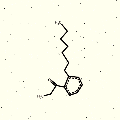 CCCCCCCc1ccccc1C(=O)CC